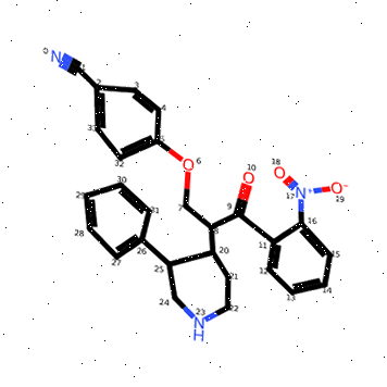 N#Cc1ccc(OCC(C(=O)c2ccccc2[N+](=O)[O-])C2CCNCC2c2ccccc2)cc1